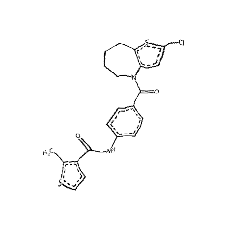 Cc1sccc1C(=O)Nc1ccc(C(=O)N2CCCCc3sc(Cl)cc32)cc1